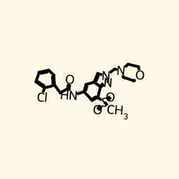 CS(=O)(=O)c1cc(NC(=O)Cc2ccccc2Cl)cc2cn(CN3CCOCC3)nc12